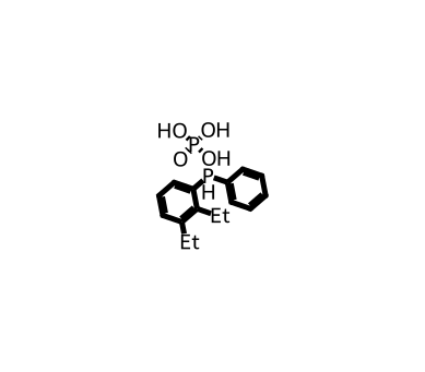 CCc1cccc(Pc2ccccc2)c1CC.O=P(O)(O)O